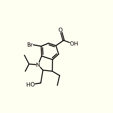 CCC1c2cc(C(=O)O)cc(Br)c2N(C(C)C)C1CO